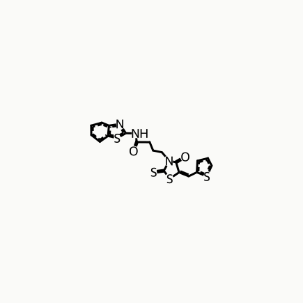 O=C(CCCN1C(=O)/C(=C\c2cccs2)SC1=S)Nc1nc2ccccc2s1